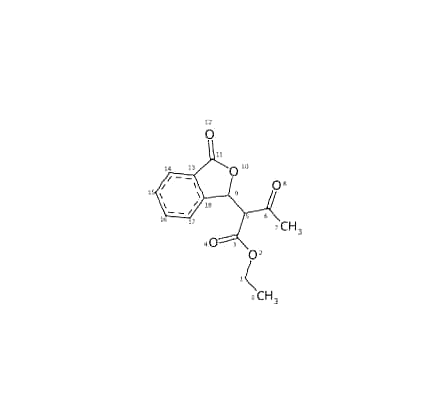 CCOC(=O)C(C(C)=O)C1OC(=O)c2ccccc21